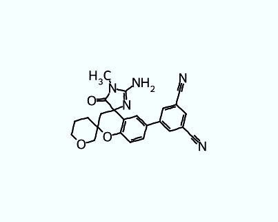 CN1C(=O)C2(CC3(CCCOC3)Oc3ccc(-c4cc(C#N)cc(C#N)c4)cc32)N=C1N